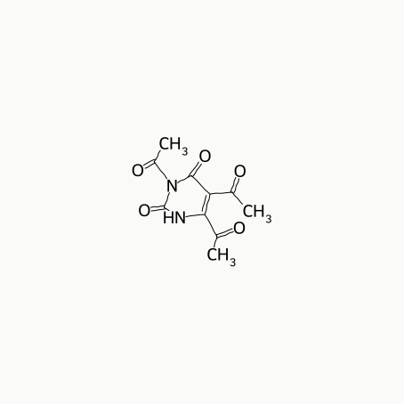 CC(=O)c1[nH]c(=O)n(C(C)=O)c(=O)c1C(C)=O